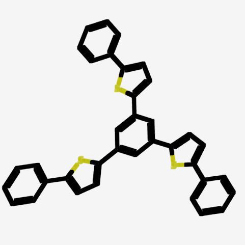 c1ccc(-c2ccc(-c3cc(-c4ccc(-c5ccccc5)s4)cc(-c4ccc(-c5ccccc5)s4)c3)s2)cc1